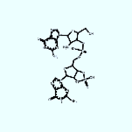 Nc1nc2c(ncn2C2OC(CO)C(OP(=O)(O)OCC3OC(n4cnc5c(=O)[nH]c(N)nc54)C4NP(=O)(O)OC34)C2N)c(=O)[nH]1